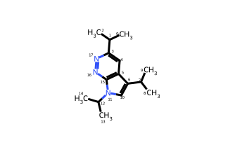 CC(C)c1cc2c(C(C)C)cn(C(C)C)c2nn1